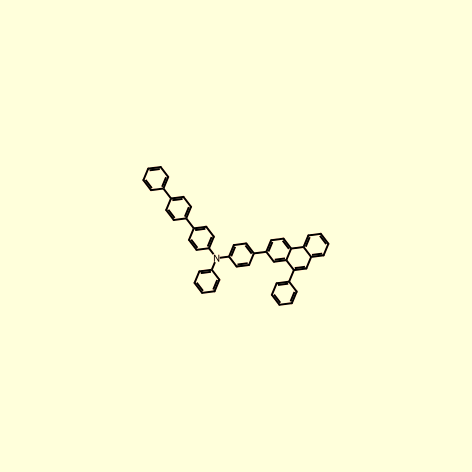 c1ccc(-c2ccc(-c3ccc(N(c4ccccc4)c4ccc(-c5ccc6c(c5)c(-c5ccccc5)cc5ccccc56)cc4)cc3)cc2)cc1